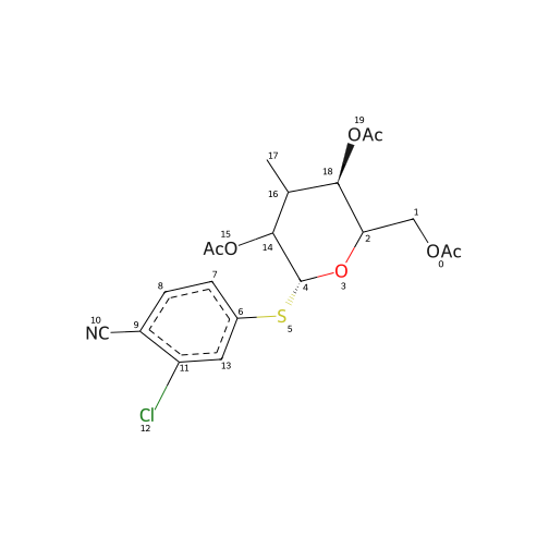 CC(=O)OCC1O[C@H](Sc2ccc(C#N)c(Cl)c2)C(OC(C)=O)C(C)[C@H]1OC(C)=O